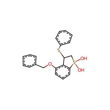 OS1(O)CC(Sc2ccccc2)c2c(OCc3ccccc3)cccc21